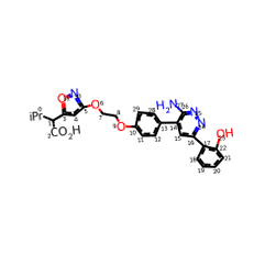 CC(C)C(C(=O)O)c1cc(OCCOc2ccc(-c3cc(-c4ccccc4O)nnc3N)cc2)no1